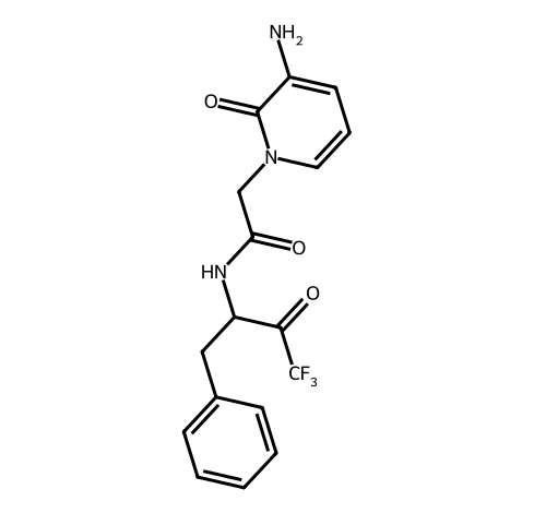 Nc1cccn(CC(=O)NC(Cc2ccccc2)C(=O)C(F)(F)F)c1=O